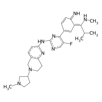 CN/C(=C1/C=C(c2nc(Nc3ccc4c(n3)CCN(C3CCN(C)C3)C4)ncc2F)C=CC1=N)C(C)C